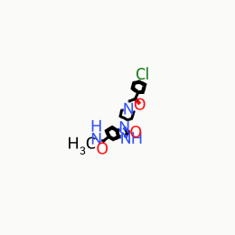 CNC(=O)c1ccc2c(c1)[nH]c(=O)n2C1CCN(CC(=O)c2ccc(Cl)cc2)CC1